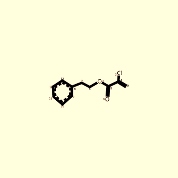 C=C(Cl)C(=O)OCCc1ccccc1